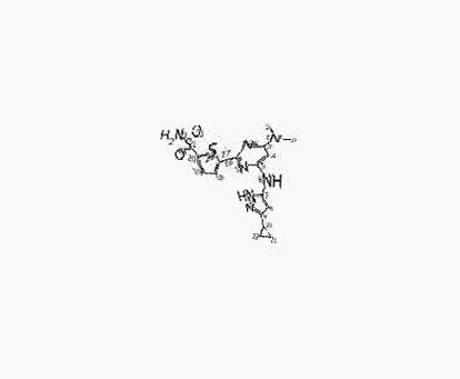 CN(C)c1cc(Nc2cc(C3CC3)n[nH]2)nc(-c2ccc(S(N)(=O)=O)s2)n1